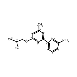 Cc1cccc(-c2nc(C)cc(OCC(Cl)Cl)n2)n1